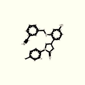 Cc1ccc(N2CC(c3ccc(Cl)cc3OCc3cccc(C#N)c3)CC2=O)cc1